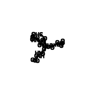 C#CCCC(=O)NCCCOCC(COCCC(=O)NCCNC(=O)CCN1C(=O)C=CC1=O)(COCCC(=O)NCCNC(=O)CCN1C(=O)C=CC1=O)COCCC(=O)NCCNC(=O)CCN1C(=O)C=CC1=O